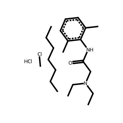 CCCCCCC.CCN(CC)CC(=O)Nc1c(C)cccc1C.CCl.Cl